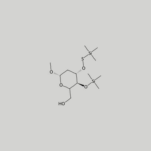 CO[C@@H]1C[C@H](OS[Si](C)(C)C)[C@@H](O[Si](C)(C)C)C(CO)O1